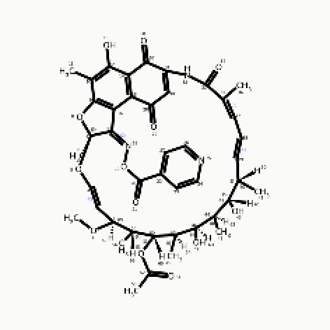 CO[C@H]1/C=C/O[C@@]2(C)Oc3c(C)c(O)c4c(c3/C2=N/OC(=O)c2ccncc2)C(=O)C=C(NC(=O)/C(C)=C\C=C\[C@H](C)[C@H](O)[C@@H](C)[C@@H](O)[C@@H](C)[C@H](OC(C)=O)[C@@H]1C)C4=O